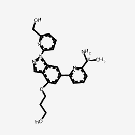 C[C@H](N)c1cccc(-c2cc(OCCCO)c3cnn(-c4cccc(CO)n4)c3c2)n1